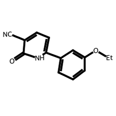 CCOc1cccc(-c2ccc(C#N)c(=O)[nH]2)c1